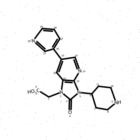 O=C(O)Cn1c(=O)n(C2CCNCC2)c2ncc(-c3cccnc3)cc21